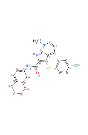 Cn1cccc2c(Sc3ccc(Cl)cc3)c(C(=O)NC3=CC=C4OCCOC4C3)nc1-2